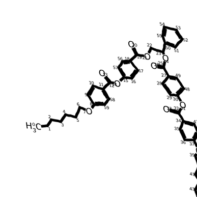 CCCCCCCOc1ccc(C(=O)Oc2ccc(C(=O)OCC(OC(=O)c3ccc(OC(=O)c4ccc(OCCCCCCC)cc4)cc3)c3ccccc3)cc2)cc1